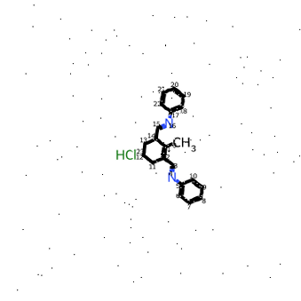 CC1=C(C=Nc2ccccc2)CCCC1C=Nc1ccccc1.Cl